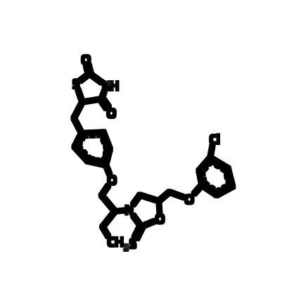 CCC(COc1ccc(CC2SC(=O)NC2=O)cc1)N1CC(COc2cccc(Cl)c2)OC1=S